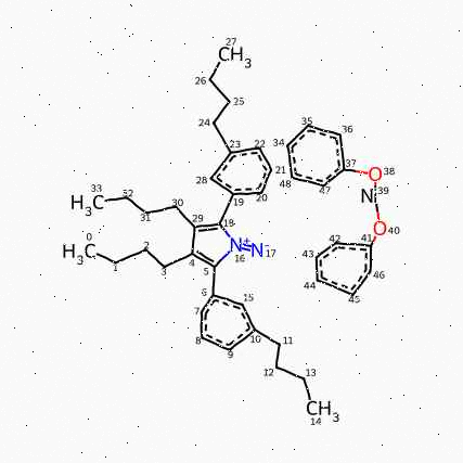 CCCCC1=C(c2cccc(CCCC)c2)[N+](=[N-])C(c2cccc(CCCC)c2)=C1CCCC.c1ccc([O][Ni][O]c2ccccc2)cc1